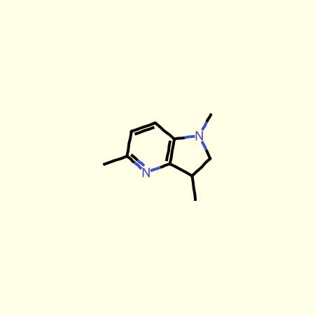 Cc1ccc2c(n1)C(C)CN2C